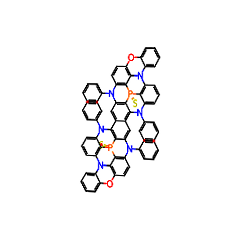 S=P12c3c4cccc3N(c3ccccc3)c3c1c(cc1c5c6c(cc31)N(c1ccccc1)c1ccc3c7c1P6(=S)c1c(cccc1N5c1ccccc1)N7c1ccccc1O3)N(c1ccccc1)c1ccc3c(c12)N4c1ccccc1O3